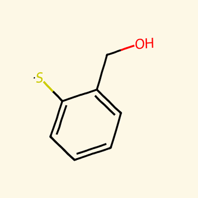 OCc1ccccc1[S]